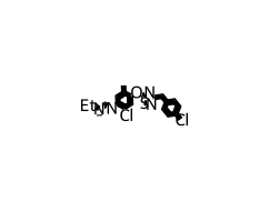 CCN(C)C=Nc1cc(C)c(Oc2nc(Cc3ccc(Cl)cc3)ns2)cc1Cl